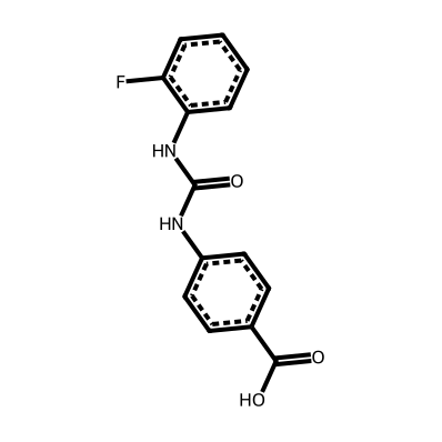 O=C(Nc1ccc(C(=O)O)cc1)Nc1ccccc1F